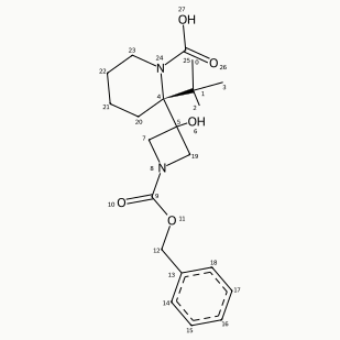 CC(C)(C)[C@@]1(C2(O)CN(C(=O)OCc3ccccc3)C2)CCCCN1C(=O)O